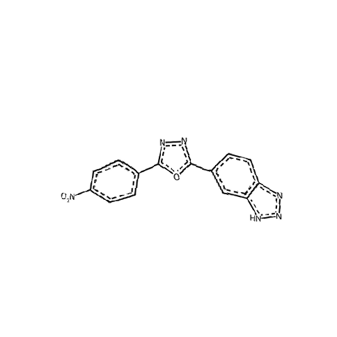 O=[N+]([O-])c1ccc(-c2nnc(-c3ccc4nn[nH]c4c3)o2)cc1